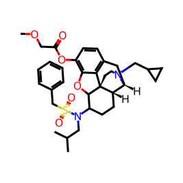 COCC(=O)Oc1ccc2c3c1OC1C(N(CC(C)C)S(=O)(=O)Cc4ccccc4)CC[C@H]4[C@@H](C2)N(CC2CC2)CC[C@]314